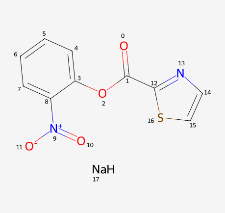 O=C(Oc1ccccc1[N+](=O)[O-])c1nccs1.[NaH]